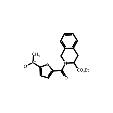 CCOC(=O)C1Cc2ccccc2CN1C(=O)c1ccc([S+](C)[O-])s1